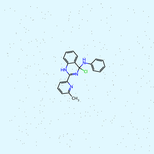 Cc1cccc(C2=NC(Cl)(Nc3ccccc3)c3ccccc3N2)n1